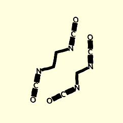 O=C=NCCN=C=O.O=C=NCN=C=O